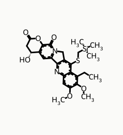 CCc1c(OC)c(OC)cc2nc3c(c(SC[Si](C)(C)C)c12)Cn1c-3cc2c(c1=O)OC(=O)C[C@H]2O